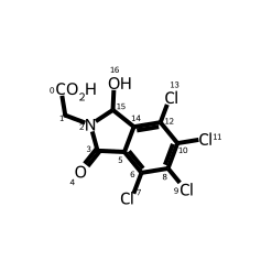 O=C(O)CN1C(=O)c2c(Cl)c(Cl)c(Cl)c(Cl)c2C1O